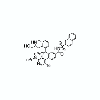 CCCN(CCC)c1ncc(Br)c(-c2ccc(C(=O)NS(=O)(=O)c3ccc4ccccc4c3)cc2C(=O)c2cccc3c2CC(CO)NC3)n1